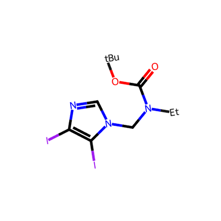 CCN(Cn1cnc(I)c1I)C(=O)OC(C)(C)C